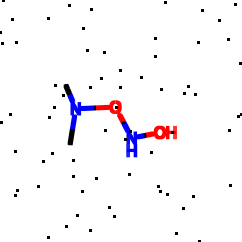 CN(C)ONO